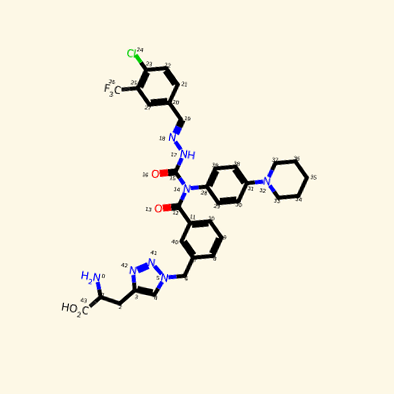 NC(Cc1cn(Cc2cccc(C(=O)N(C(=O)NN=Cc3ccc(Cl)c(C(F)(F)F)c3)c3ccc(N4CCCCC4)cc3)c2)nn1)C(=O)O